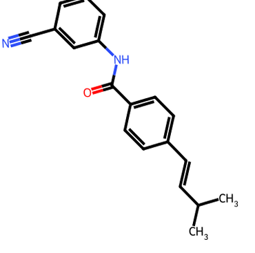 CC(C)/C=C/c1ccc(C(=O)Nc2cccc(C#N)c2)cc1